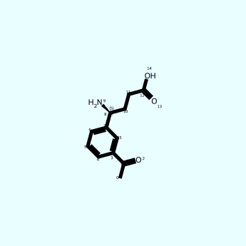 CC(=O)c1cccc([C@@H](N)CCC(=O)O)c1